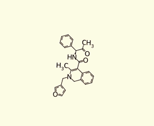 CC(=O)[C@@H](NC(=O)C1=C(C)N(Cc2ccoc2)Cc2ccccc21)c1ccccc1